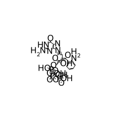 Nc1nc2c(ncn2[C@H]2C[C@@](O)(C(=O)c3ccccc3N)[C@@H](COP(=O)(O)OP(=O)(O)OP(=O)(O)O)O2)c(=O)[nH]1